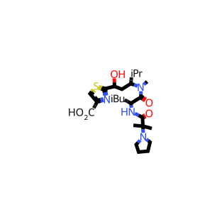 CCC(C)C(NC(=O)C(C)(C)N1CCCC1)C(=O)N(C)C(CC(O)c1nc(C(=O)O)cs1)C(C)C